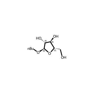 CCCCO[C@@H]1O[C@@H](CO)[C@H](O)[C@H]1O